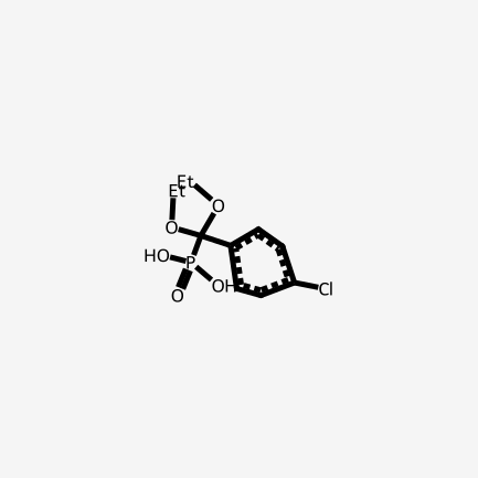 CCOC(OCC)(c1ccc(Cl)cc1)P(=O)(O)O